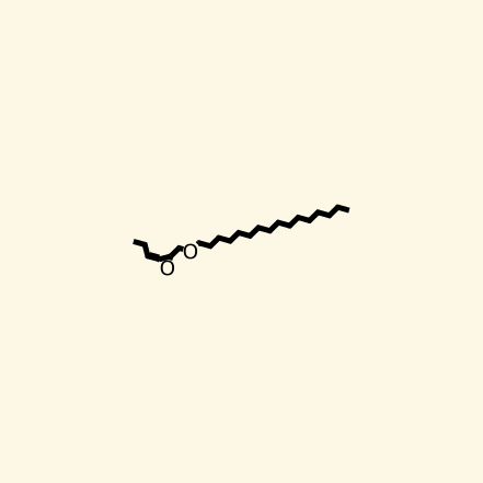 CCC=C1OC1COCCCCCCCCCCCCCCCC